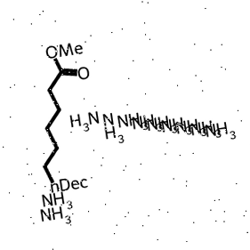 CCCCCCCCCCCCCCCC(=O)OC.N.N.N.N.N.N.N.N.N.N.N